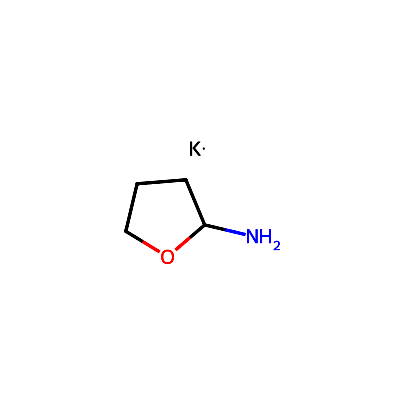 NC1CCCO1.[K]